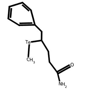 C[Te]C(CCC(N)=O)Cc1ccccc1